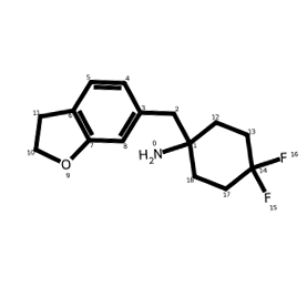 NC1(Cc2ccc3c(c2)OCC3)CCC(F)(F)CC1